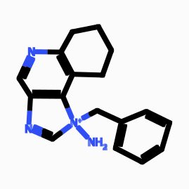 N[N+]1(Cc2ccccc2)C=Nc2cnc3c(c21)CCCC3